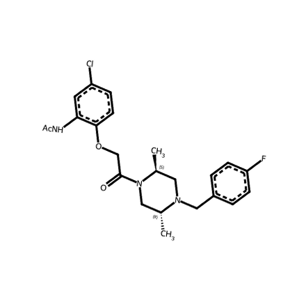 CC(=O)Nc1cc(Cl)ccc1OCC(=O)N1C[C@@H](C)N(Cc2ccc(F)cc2)C[C@@H]1C